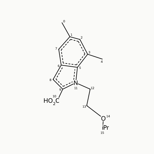 Cc1cc(C)c2c(c1)cc(C(=O)O)n2CCOC(C)C